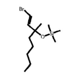 CCCCCC(C)(/C=C/Br)O[Si](C)(C)C